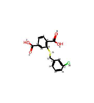 O=C(O)c1ccc(C(=O)O)c(SCc2cccc(Cl)c2)c1